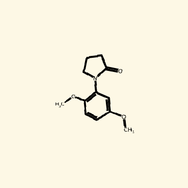 COc1ccc(OC)c(N2CCCC2=O)c1